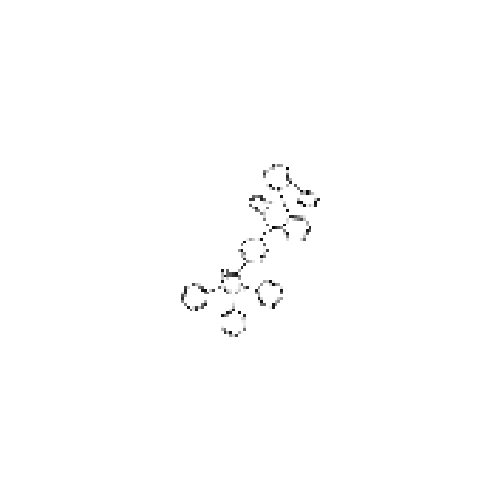 c1ccc(-c2nc(-c3ccc(N4c5ccccc5C5(c6ccccc6-c6ccccc65)c5ccccc54)cc3)n(-c3ccccc3)c2-c2ccccc2)cc1